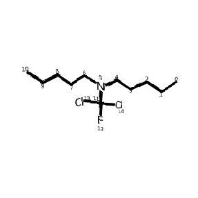 CCCCCN(CCCCC)C(F)(Cl)Cl